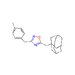 Cc1ccc(Cc2noc(CC34CC5CC(CC(C5)C3)C4)n2)cc1